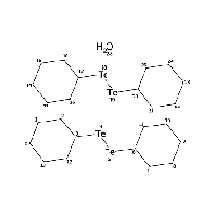 C1CCC([Te][Te]C2CCCCC2)CC1.C1CCC([Te][Te]C2CCCCC2)CC1.O